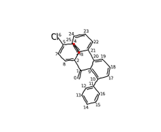 C=C(c1ccc(Cl)cc1)c1c(-c2ccccc2)cccc1-c1ccccc1